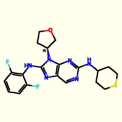 Fc1cccc(F)c1Nc1nc2cnc(NC3CCSCC3)nc2n1[C@H]1CCOC1